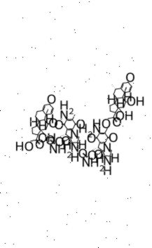 CO[C@@]12[C@H](COC(N)=O)C3=C(C(=O)C(C)=C(N)C3=O)N1C[C@@H]1N[C@@H]12.CO[C@@]12[C@H](COC(N)=O)C3=C(C(=O)C(C)=C(N)C3=O)N1C[C@@H]1N[C@@H]12.C[C@H]1C[C@@H]2[C@H]([C@@H](O)C[C@@]3(C)[C@H]2CC[C@]3(O)C(=O)CO)[C@@]2(C)C=CC(=O)C=C12.C[C@]12C=CC(=O)C=C1CC[C@@H]1[C@@H]2C(=O)C[C@@]2(C)[C@H]1CC[C@]2(O)C(=O)CO